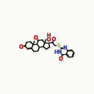 CC12CCC(=O)C=C1CCC1C2C(=O)CC2(C)C1CC[C@]2(O)C(=O)CSc1nc2ccccc2c(=O)[nH]1